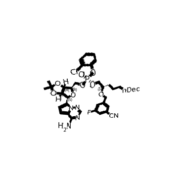 CCCCCCCCCCCCC[C@@H](COP(=O)(OC[C@H]1O[C@@H](c2ccc3c(N)ncnn23)[C@@H]2OC(C)(C)O[C@@H]21)Oc1ccccc1Cl)OCc1cc(F)cc(C#N)c1